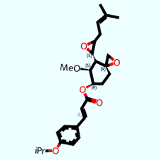 CO[C@H]1C([C@@H]2OC2CC=C(C)C)[C@]2(CC[C@H]1OC(=O)/C=C/c1ccc(OC(C)C)cc1)CO2